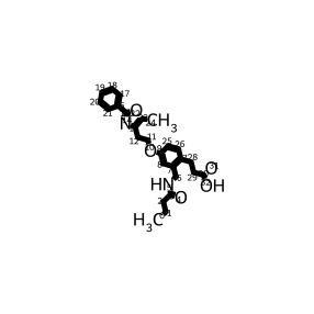 CCCC(=O)NCc1cc(OCCc2nc(-c3ccccc3)oc2C)ccc1CCC(=O)O